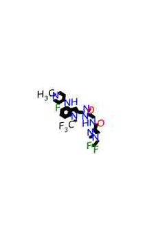 CN1CC[C@@H](Nc2cccc3c2cc(-c2noc(CNC(=O)c4cn(CC(F)F)cn4)n2)n3CC(F)(F)F)[C@@H](F)C1